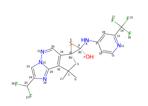 CC1(C)C[C@@]2(S[C@@]2(O)Nc2ccnc(C(F)(F)F)c2)c2cnn3cc(C(F)F)nc3c21